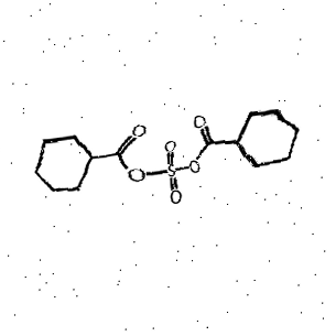 O=C(OS(=O)(=O)OC(=O)C1CCCCC1)C1CCCCC1